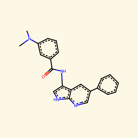 CN(C)c1cccc(C(=O)Nc2c[nH]c3ncc(-c4ccccc4)cc23)c1